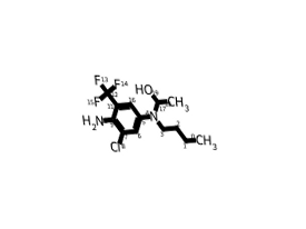 CCCCN(c1cc(Cl)c(N)c(C(F)(F)F)c1)C(C)O